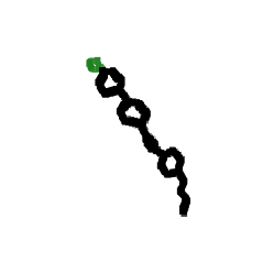 C=CCCC1CCC(C#Cc2ccc(-c3ccc(Cl)cc3)cc2)CC1